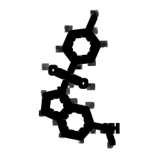 CNc1ccc2ccn(S(=O)(=O)c3ccc(C)cc3)c2c1